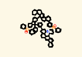 O=P(c1ccccc1)(c1ccccc1)c1ccc(-c2c3ccc4ccccc4c3cc3ccc4cc(-c5cccc(C6(c7ccccc7)c7cc(-c8c9ccc%10ccccc%10c9cc9ccc%10ccccc%10c89)ccc7-c7ccc(P(=O)(c8ccccc8)c8ccccc8)cc76)c5)ccc4c23)nc1